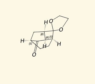 O=C1[C@H]2CC[C@H]3[C@@H]1[C@@H](C2)C31OCCO1